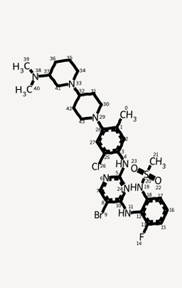 Cc1cc(Nc2ncc(Br)c(Nc3c(F)cccc3NS(C)(=O)=O)n2)c(Cl)cc1N1CCC(N2CCCC(N(C)C)C2)CC1